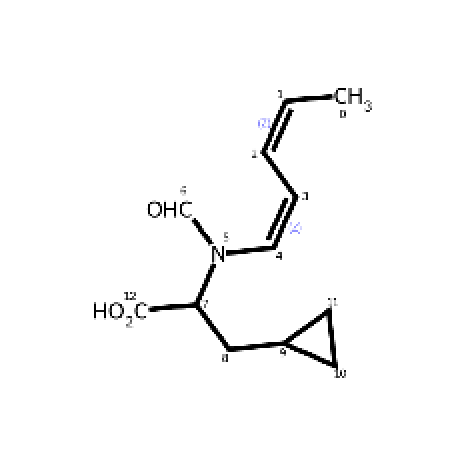 C/C=C\C=C/N(C=O)C(CC1CC1)C(=O)O